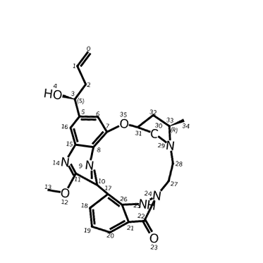 C=CC[C@H](O)c1cc2c3nc(c(OC)nc3c1)-c1cccc3c(=O)n([nH]c13)CCN1CC(C[C@H]1C)O2